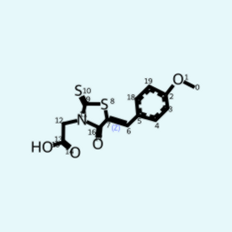 COc1ccc(/C=C2\SC(=S)N(CC(=O)O)C2=O)cc1